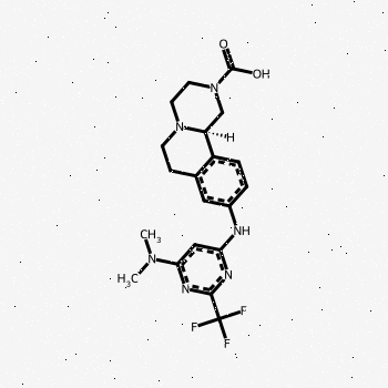 CN(C)c1cc(Nc2ccc3c(c2)CCN2CCN(C(=O)O)C[C@@H]32)nc(C(F)(F)F)n1